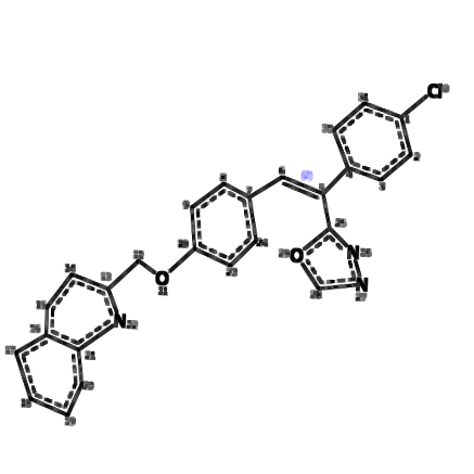 Clc1ccc(/C(=C/c2ccc(OCc3ccc4ccccc4n3)cc2)c2nnco2)cc1